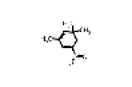 CC1=CC(C)(C)CC([N+](=O)[O-])=C1